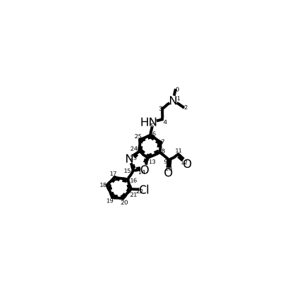 CN(C)CCNc1cc(C(=O)C=O)c2oc(-c3ccccc3Cl)nc2c1